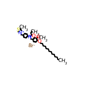 CCCCCCCCCCCCCCOc1ccc(CN(C(=O)CC)c2ccc(C[n+]3csc(C)c3)cc2)cc1OC.[Br-]